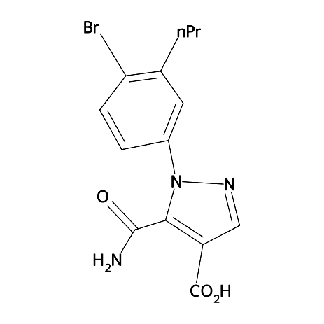 CCCc1cc(-n2ncc(C(=O)O)c2C(N)=O)ccc1Br